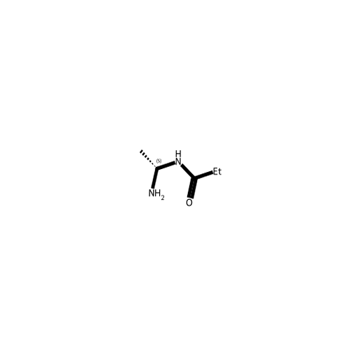 CCC(=O)N[C@@H](C)N